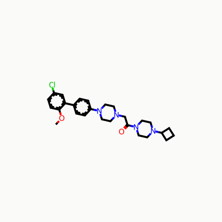 COc1ccc(Cl)cc1-c1ccc(N2CCN(CC(=O)N3CCN(C4CCC4)CC3)CC2)cc1